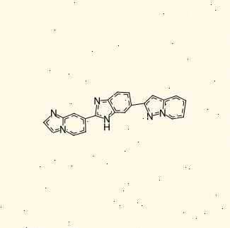 c1ccn2nc(-c3ccc4nc(-c5ccn6ccnc6c5)[nH]c4c3)cc2c1